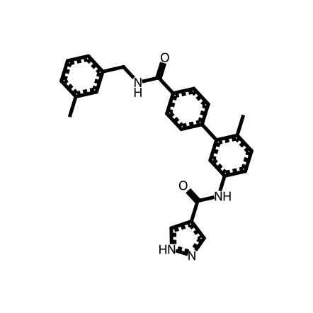 Cc1cccc(CNC(=O)c2ccc(-c3cc(NC(=O)c4cn[nH]c4)ccc3C)cc2)c1